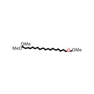 COCOCCCCCCCCCCCCCCCCCC(OC)OC